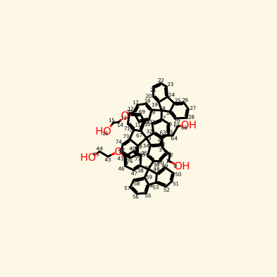 OCCCc1ccc(C2(c3ccc(OCCO)cc3)c3ccccc3-c3ccccc32)cc1C1(c2cc(C3(c4ccc(OCCO)cc4)c4ccccc4-c4ccccc43)ccc2CCCO)c2ccccc2-c2ccccc21